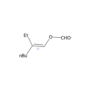 CCCC/C(=C/O[C]=O)CC